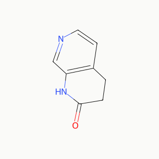 O=C1CCc2ccncc2N1